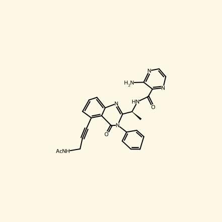 CC(=O)NCC#Cc1cccc2nc([C@H](C)NC(=O)c3nccnc3N)n(-c3ccccc3)c(=O)c12